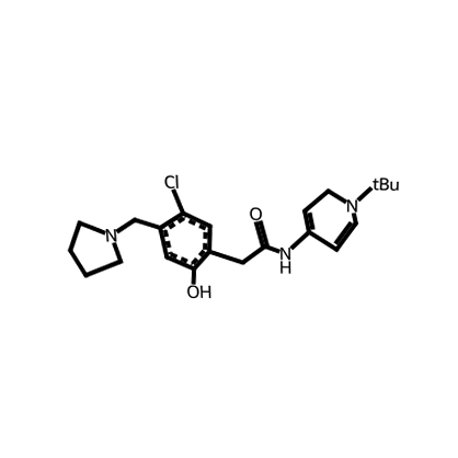 CC(C)(C)N1C=CC(NC(=O)Cc2cc(Cl)c(CN3CCCC3)cc2O)=CC1